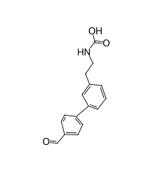 O=Cc1ccc(-c2cccc(CCNC(=O)O)c2)cc1